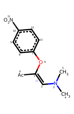 CC(=O)/C(=C/N(C)C)Oc1ccc([N+](=O)[O-])cc1